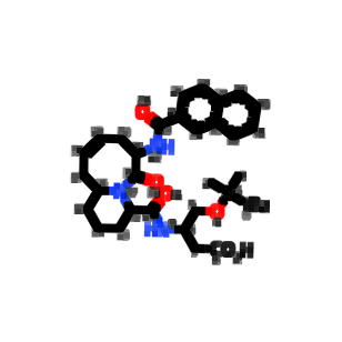 CC(C)(C)[Si](C)(C)OCC(CC(=O)O)NC(=O)C1CCCC2C/C=C\CC(NC(=O)c3ccc4ccccc4c3)C(=O)N21